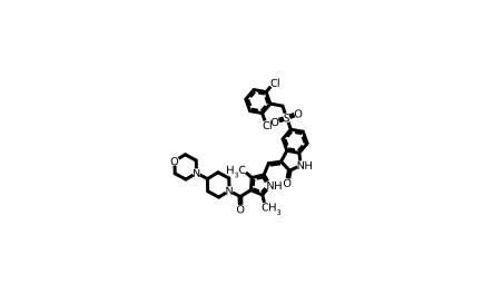 Cc1[nH]c(/C=C2\C(=O)Nc3ccc(S(=O)(=O)Cc4c(Cl)cccc4Cl)cc32)c(C)c1C(=O)N1CCC(N2CCOCC2)CC1